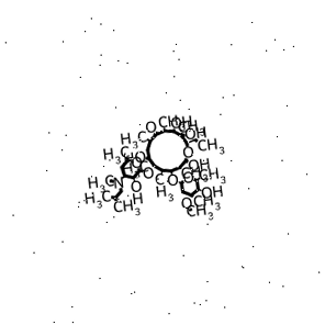 CC[C@H]1OC(O)[C@H](C)[C@@H](O[C@H]2C[C@@](C)(OC)[C@@H](O)[C@H](C)O2)[C@H](C)[C@@H](O[C@@H]2O[C@H](C)C[C@H](N(C)CC(C)C)[C@H]2O)[C@](C)(O)C[C@@H](C)C(=O)[C@H](C)[C@@H](O)[C@]1(C)O